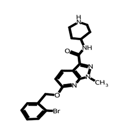 Cn1nc(C(=O)NC2CCNCC2)c2ccc(OCc3ccccc3Br)nc21